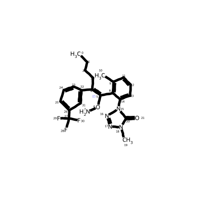 CCCC/C(=C(/ON)c1c(C)cccc1-n1nnn(C)c1=O)c1cccc(C(F)(F)F)c1